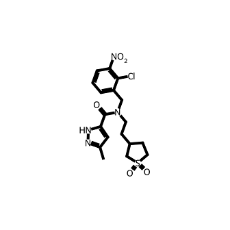 Cc1cc(C(=O)N(CCC2CCS(=O)(=O)C2)Cc2cccc([N+](=O)[O-])c2Cl)[nH]n1